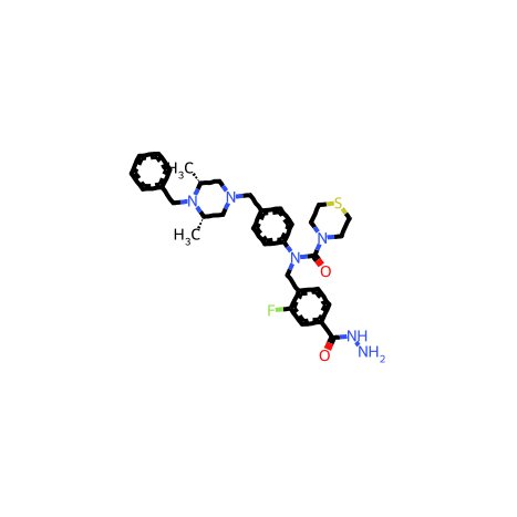 C[C@@H]1CN(Cc2ccc(N(Cc3ccc(C(=O)NN)cc3F)C(=O)N3CCSCC3)cc2)C[C@H](C)N1Cc1ccccc1